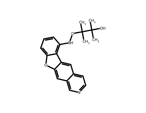 CC(C)(O)C(C)(C)OBc1cccc2oc3cc4cnccc4cc3c12